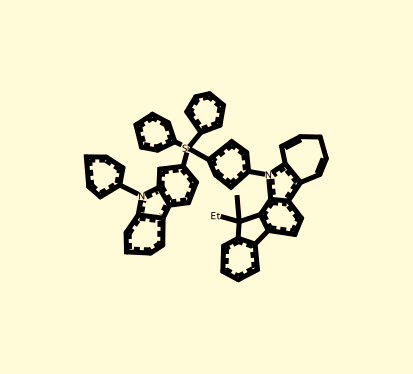 CCC1(C)c2ccccc2-c2ccc3c4c(n(-c5ccc([Si](c6ccccc6)(c6ccccc6)c6ccc7c8ccccc8n(-c8ccccc8)c7c6)cc5)c3c21)C=CCC=C4